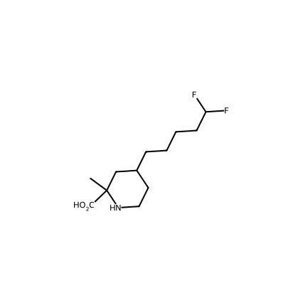 CC1(C(=O)O)CC(CCCCC(F)F)CCN1